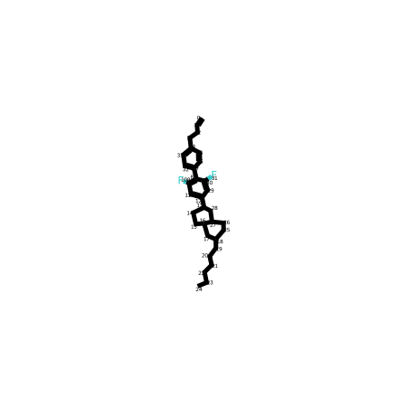 C=CCCc1ccc(-c2c(F)cc(C3CCC4CC(CCCCCC)CCC4C3)cc2F)cc1